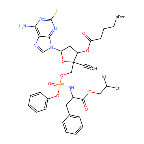 C#CC1(CO[P@@](=O)(NC(Cc2ccccc2)C(=O)OCC(CC)CC)Oc2ccccc2)OC(n2cnc3c(N)nc(F)nc32)CC1OC(=O)CCCCCCCCCCCCC